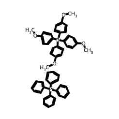 COc1ccc([B-](c2ccc(OC)cc2)(c2ccc(OC)cc2)c2ccc(OC)cc2)cc1.c1ccc([P+](c2ccccc2)(c2ccccc2)c2ccccc2)cc1